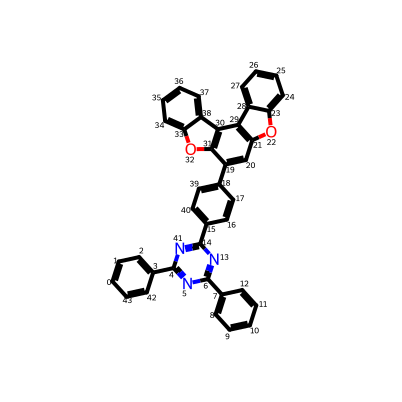 c1ccc(-c2nc(-c3ccccc3)nc(-c3ccc(-c4cc5oc6ccccc6c5c5c4oc4ccccc45)cc3)n2)cc1